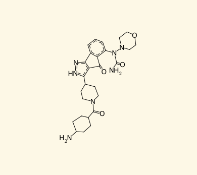 NC(=O)N(c1cccc2c1C(=O)c1c-2n[nH]c1C1CCN(C(=O)C2CCC(N)CC2)CC1)N1CCOCC1